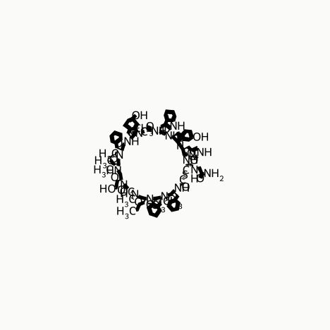 CCCC[C@H]1C(=O)N(C)CC(=O)N[C@@H](CC(=O)O)C(=O)N[C@@H](C(C)C)C(=O)N(C)[C@@H](Cc2ccccc2)C(=O)N[C@@H](Cc2ccc(O)cc2)C(=O)N(C)CC(=O)N[C@@H](Cc2c[nH]c3ccccc23)C(=O)N[C@@H](Cc2ccc(O)cc2)C(=O)N[C@@H](Cc2c[nH]cn2)C(=O)N[C@H](C(=O)NCC(N)=O)CSCC(=O)N[C@@H](Cc2ccccc2)C(=O)N(C)[C@@H](Cc2ccccc2)C(=O)N1C